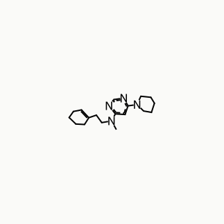 CN(CCC1=CCCCC1)c1cc(N2CCCCC2)ncn1